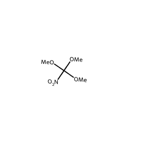 COC(OC)(OC)[N+](=O)[O-]